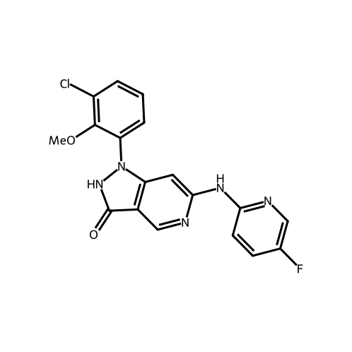 COc1c(Cl)cccc1-n1[nH]c(=O)c2cnc(Nc3ccc(F)cn3)cc21